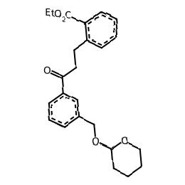 CCOC(=O)c1ccccc1CCC(=O)c1cccc(COC2CCCCO2)c1